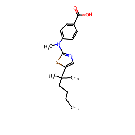 CCCCC(C)(C)c1cnc(N(C)c2ccc(C(=O)O)cc2)s1